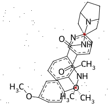 COc1ccc([C@@H](C)NC(=O)c2ccc(N3C4CCC3CC(NC(=O)c3cccc(OC)c3C)C4)nc2)cc1